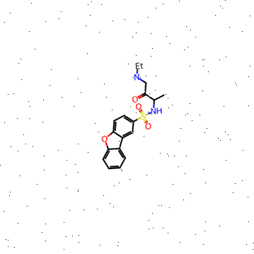 CC[N]CC(=O)C(C)NS(=O)(=O)c1ccc2oc3ccccc3c2c1